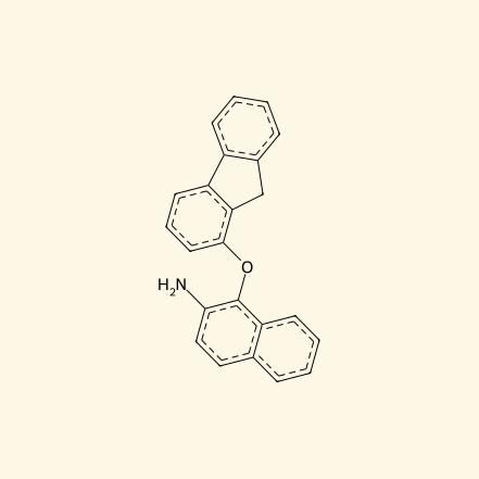 Nc1ccc2ccccc2c1Oc1cccc2c1Cc1ccccc1-2